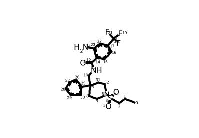 CCCS(=O)(=O)N1CCC(CNC(=O)c2ccc(C(F)(F)F)cc2N)(c2ccccc2)CC1